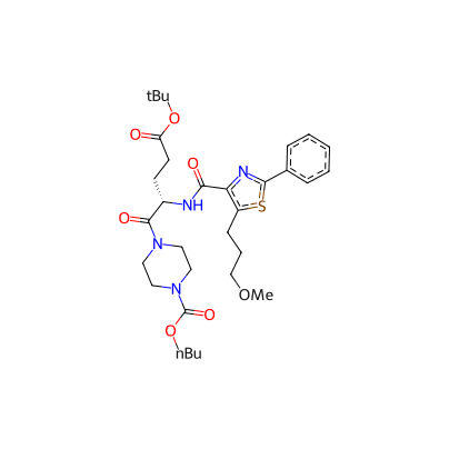 CCCCOC(=O)N1CCN(C(=O)[C@H](CCC(=O)OC(C)(C)C)NC(=O)c2nc(-c3ccccc3)sc2CCCOC)CC1